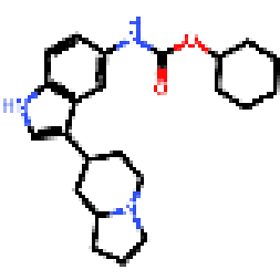 O=C(Nc1ccc2[nH]cc(C3CCN4CCCC4C3)c2c1)OC1CCCCC1